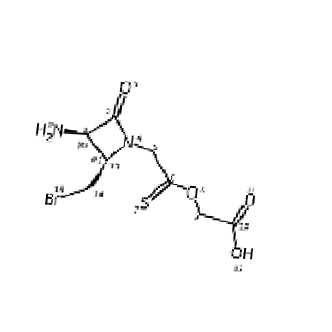 N[C@H]1C(=O)N(CC(=S)OCC(=O)O)[C@H]1CBr